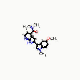 COc1ccc2c(c1)c(-c1cc3c(C(=O)N(C)C)ccnc3[nH]1)cn2C